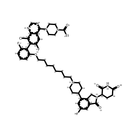 CCC(=O)N1CCN(c2ncnc3c(Cl)c(-c4c(F)cccc4OCCCCCCCCN4CCC(c5cc(F)cc6c5CN(C5CCC(=O)NC5=O)C6=O)CC4)c(F)cc23)CC1